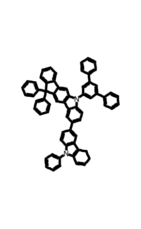 C1=Cc2c(c3cc(-c4ccc5c(c4)c4cc6c(cc4n5-c4cc(-c5ccccc5)cc(-c5ccccc5)c4)-c4ccccc4C6(c4ccccc4)c4ccccc4)ccc3n2-c2ccccc2)CC1